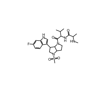 CNC(C)C(=O)NC(C(=O)N1CCC2C1C(c1c[nH]c3cc(F)ccc13)CN2S(C)(=O)=O)C(C)C